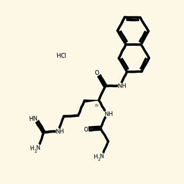 Cl.N=C(N)NCCC[C@H](NC(=O)CN)C(=O)Nc1ccc2ccccc2c1